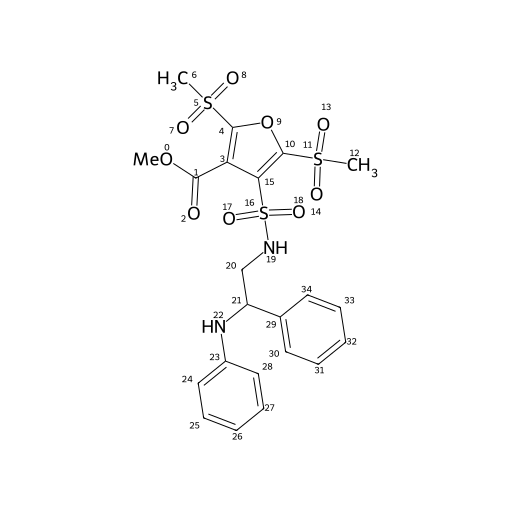 COC(=O)c1c(S(C)(=O)=O)oc(S(C)(=O)=O)c1S(=O)(=O)NCC(Nc1ccccc1)c1ccccc1